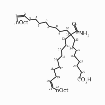 CCCCCCCC/C=C\CCCCCCCCC(CCCCCCCC/C=C\CCCCCCCC)(CCCCCCCC(=O)O)C(N)=O